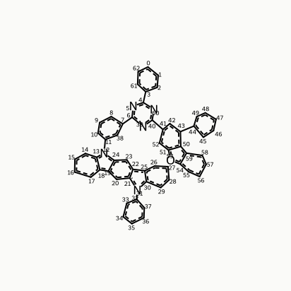 c1ccc(-c2nc(-c3cccc(-n4c5ccccc5c5cc6c(cc54)c4ccccc4n6-c4ccccc4)c3)nc(-c3cc(-c4ccccc4)c4c(c3)oc3ccccc34)n2)cc1